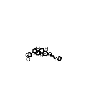 C[C@]12CC[C@H](OCCCN3CCCC3)C[C@H]1CC[C@@H]1[C@@H]2CC[C@]2(C)[C@@H](C3=CC(=O)OC3)CC[C@]12O